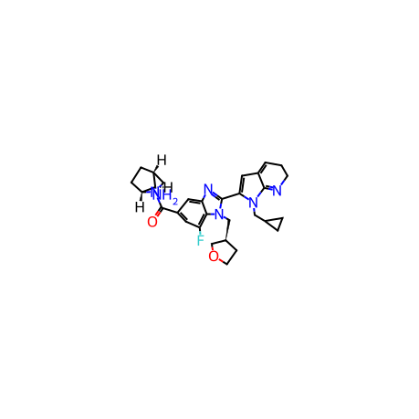 N[C@@H]1[C@@H]2CC[C@H]1N(C(=O)c1cc(F)c3c(c1)nc(-c1cc4c(n1CC1CC1)=NCCC=4)n3C[C@H]1CCOC1)C2